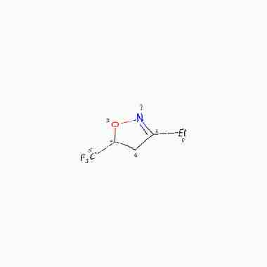 CCC1=NOC(C(F)(F)F)C1